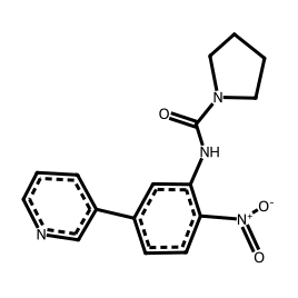 O=C(Nc1cc(-c2cccnc2)ccc1[N+](=O)[O-])N1CCCC1